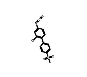 CS(=O)(=O)c1ccc(-c2ccc(N=C=S)cc2Cl)cc1